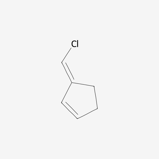 ClC=C1C=CCC1